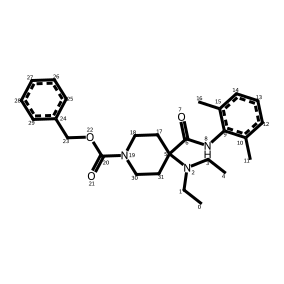 CCN(CC)C1(C(=O)Nc2c(C)cccc2C)CCN(C(=O)OCc2ccccc2)CC1